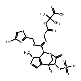 Cn1ncc2c1[C@@H](/C(=N/OC(=O)NC(C)(C)C(=O)O)NCc1nc(N)cs1)N1C[C@@H]2N(OS(=O)(=O)O)C1=O